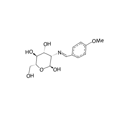 COc1ccc(C=N[C@H]2[C@@H](O)[C@H](O)[C@@H](CO)O[C@@H]2O)cc1